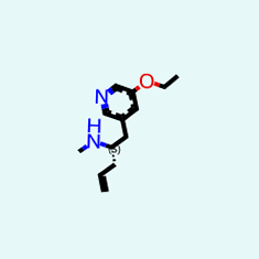 C=CC[C@@H](Cc1cncc(OCC)c1)NC